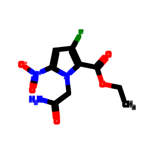 CCOC(=O)c1c(F)cc([N+](=O)[O-])n1CC(N)=O